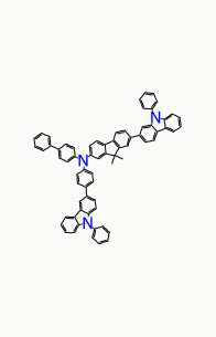 CC1(C)c2cc(-c3ccc4c5ccccc5n(-c5ccccc5)c4c3)ccc2-c2ccc(N(c3ccc(-c4ccccc4)cc3)c3ccc(-c4ccc5c(c4)c4ccccc4n5-c4ccccc4)cc3)cc21